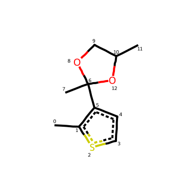 Cc1sccc1C1(C)OCC(C)O1